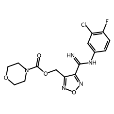 N=C(Nc1ccc(F)c(Cl)c1)c1nonc1COC(=O)N1CCOCC1